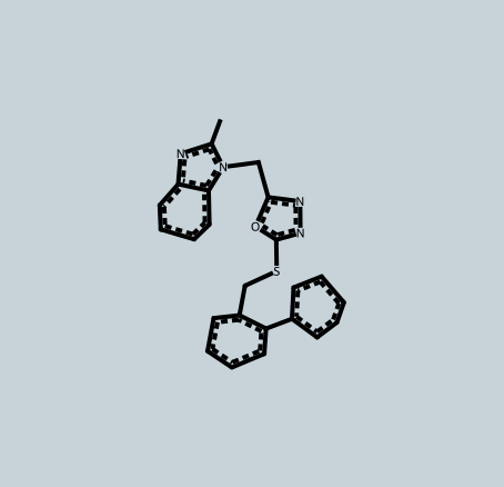 Cc1nc2ccccc2n1Cc1nnc(SCc2ccccc2-c2ccccc2)o1